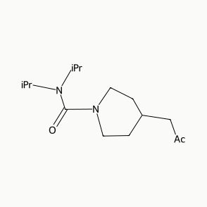 CC(=O)CC1CCN(C(=O)N(C(C)C)C(C)C)CC1